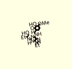 CCC(CO)Nc1nc(NCc2ccc(OC)c(O)c2O)c2nnn(CC)c2n1